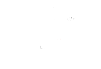 CCC(C)(C)C(=O)C1(OC)CC1